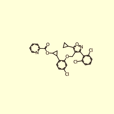 O=C(OC1CC1c1ccc(Cl)cc1OCc1c(-c2c(Cl)cccc2Cl)noc1C1CC1)c1ccccn1